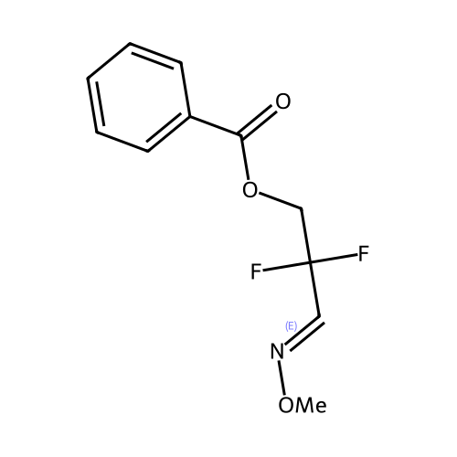 CO/N=C/C(F)(F)COC(=O)c1ccccc1